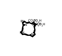 O=C(O)c1c(C(=O)O)c2c(C(=O)O)c3nc(cc4ccc(cc5nc(cc1n2C(=O)O)C=C5)[nH]4)C=C3.[Rh]